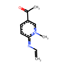 C=C/N=c1/ccc(C(C)=O)cn1C